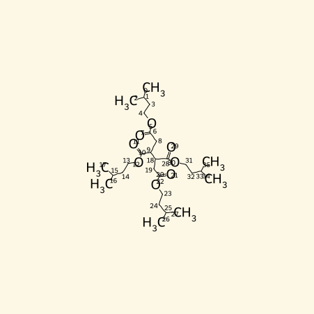 CC(C)CCOC(=O)CC(C(=O)OCCC(C)C)C(CC(=O)OCCC(C)C)C(=O)OCCC(C)C